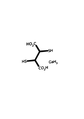 O=C(O)C(S)C(S)C(=O)O.[GaH3]